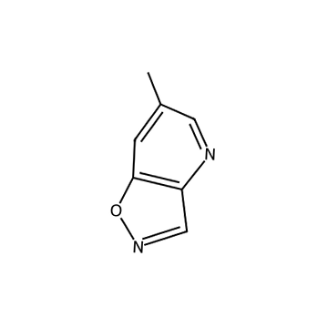 Cc1cnc2cnoc2c1